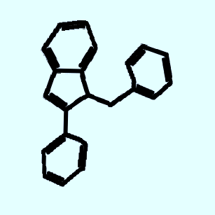 C1=C(c2ccccc2)C(Cc2ccccc2)c2ccccc21